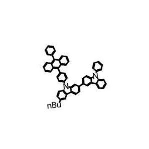 CCCCc1ccc2c(c1)c1ccc(-c3ccc4c(c3)c3ccccc3n4-c3ccccc3)cc1n2-c1ccc(-c2c3ccccc3c(-c3ccccc3)c3ccccc23)cc1